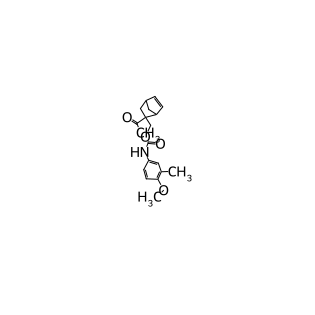 COc1ccc(NC(=O)OCC2(C(C)=O)CC3C=CC2C3)cc1C